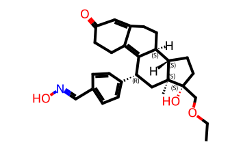 CCOC[C@]1(O)CC[C@H]2[C@@H]3CCC4=CC(=O)CCC4=C3[C@@H](c3ccc(C=NO)cc3)C[C@@]21C